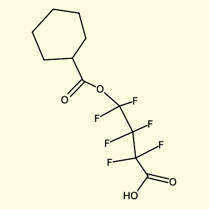 O=C(OC(F)(F)C(F)(F)C(F)(F)C(=O)O)C1CCCCC1